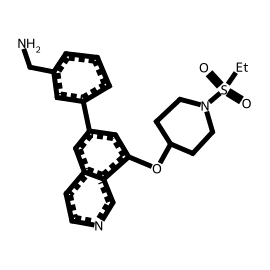 CCS(=O)(=O)N1CCC(Oc2cc(-c3cccc(CN)c3)cc3ccncc23)CC1